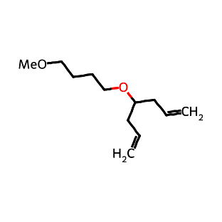 C=CCC(CC=C)OCCCCOC